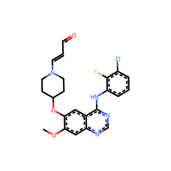 COc1cc2ncnc(Nc3cccc(Cl)c3F)c2cc1OC1CCN(C=CC=O)CC1